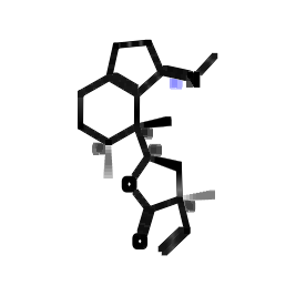 C=C[C@]1(C)C[C@H]([C@@]2(C)C3=C(CC/C3=N\C)CC[C@H]2C)OC1=O